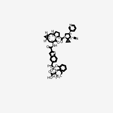 CCCN([C@@H](C)C(=O)O)[P@@](=O)(Oc1ccccc1)[C@@H](F)c1ccc2sc(C(=O)N[C@H]3C[C@@H]4C[C@@H]4C[C@H]4CC[C@@H](C(=O)N5C[C@@H](c6cccnc6)[C@H](C#N)C56CC6)N4C3=O)cc2c1